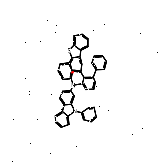 c1ccc(-c2cccc(N(c3ccccc3)c3ccc4c5ccccc5n(-c5ccccc5)c4c3)c2-c2ccc3sc4ccccc4c3c2)cc1